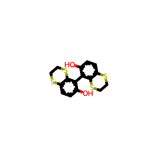 Oc1ccc2c(c1-c1c(O)ccc3c1SCCS3)SCCS2